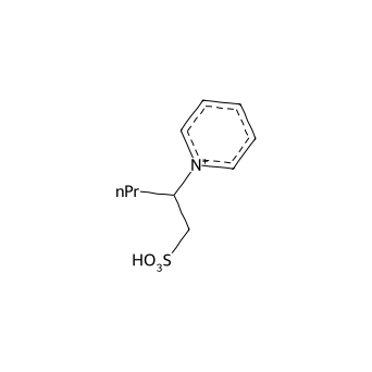 CCCC(CS(=O)(=O)O)[n+]1ccccc1